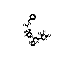 O=C(OCc1ccccc1)N1CC2(C1)CN(c1cc(-c3c[nH]c(=O)[nH]c3=O)nn3ccnc13)CC2(F)F